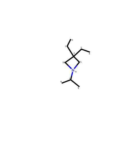 CCC1(CC)CN(C(C)C)C1